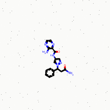 NC(=O)CC(c1ccccc1)n1cc(NC(=O)c2nccnc2N)cn1